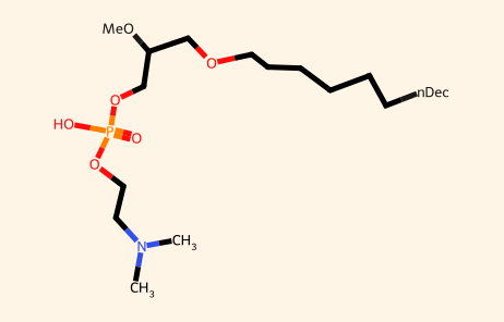 CCCCCCCCCCCCCCCCOCC(COP(=O)(O)OCCN(C)C)OC